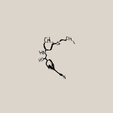 CCCSCCC(CC)NCC(O)c1ccc(C#N)cc1